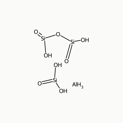 O=[Si](O)O.O=[Si](O)O[Si](=O)O.[AlH3]